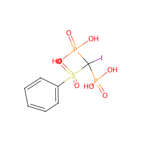 O=P(O)(O)C(I)(P(=O)(O)O)S(=O)(=O)c1ccccc1